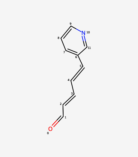 O=C/C=C/C=Cc1cccnc1